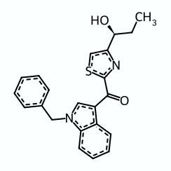 CC[C@H](O)c1csc(C(=O)c2cn(Cc3ccccc3)c3ccccc23)n1